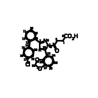 O=C(O)CCC(=O)N1N=C(c2ccccc2-c2ccc(Cl)cc2)CC1c1cccc2c1OCO2